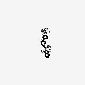 CC(C)[C@@H](CN1CC[C@@](C)(c2cccc(OS(=O)(=O)C(F)(F)F)c2)[C@@H](C)C1)N1C(=O)c2ccccc2C1=O